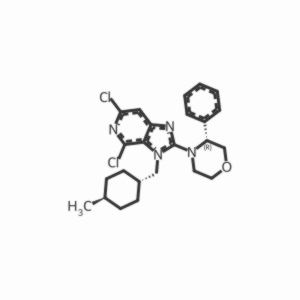 C[C@H]1CC[C@H](Cn2c(N3CCOC[C@H]3c3ccccc3)nc3cc(Cl)nc(Cl)c32)CC1